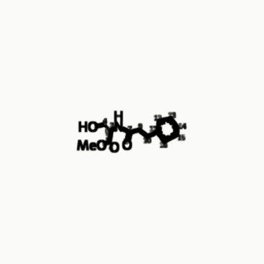 COC(=O)[C@H](CO)NC(=O)CCc1ccccc1